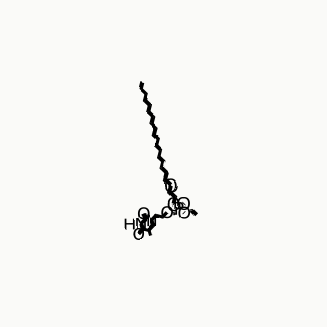 CCCCCCCCCCCCCCCCCCOCCOP(=O)(COCCn1cc(C)c(=O)[nH]c1=O)OCC